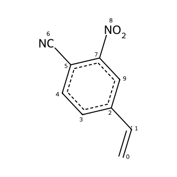 C=[C]c1ccc(C#N)c([N+](=O)[O-])c1